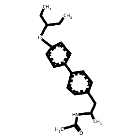 CCC(CC)Oc1ccc(-c2ccc(CC(C)NC(C)=O)cc2)cc1